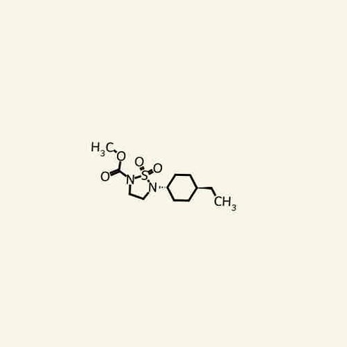 CC[C@H]1CC[C@H](N2CCN(C(=O)OC)S2(=O)=O)CC1